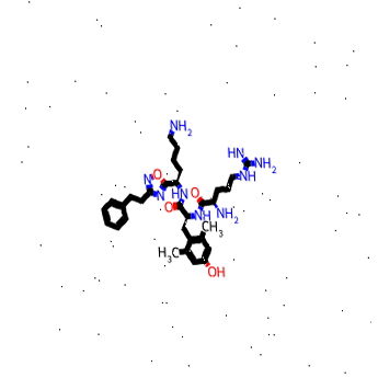 Cc1cc(O)cc(C)c1C[C@H](NC(=O)[C@H](N)CCCNC(=N)N)C(=O)N[C@H](CCCCN)c1nc(CCc2ccccc2)no1